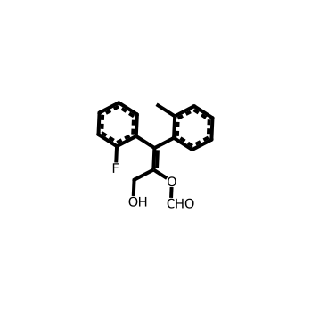 Cc1ccccc1/C(=C(/CO)OC=O)c1ccccc1F